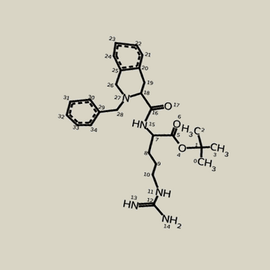 CC(C)(C)OC(=O)C(CCCNC(=N)N)NC(=O)C1Cc2ccccc2CN1Cc1ccccc1